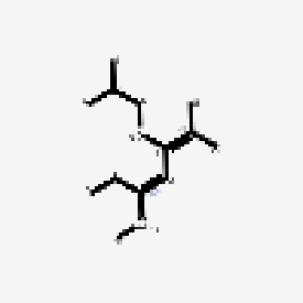 CC/C(=C\C(SCC(C)C)=C(C)C)OC